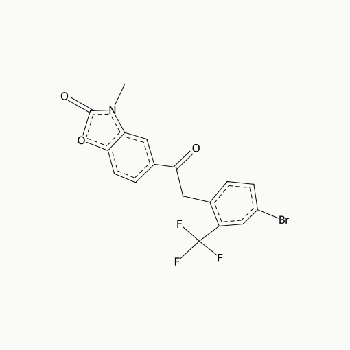 Cn1c(=O)oc2ccc(C(=O)Cc3ccc(Br)cc3C(F)(F)F)cc21